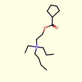 CCCC[N+](CC)(CCC)CCOC(=O)C1CCCC1